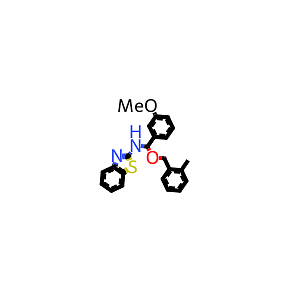 COc1cccc(C(Nc2nc3ccccc3s2)OCc2ccccc2C)c1